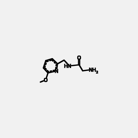 COc1cccc(CNC(=O)CN)n1